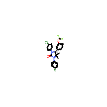 CC1(C)[C@H](c2cccc(OC(F)F)c2)N(c2ccc(Cl)cc2)C(=O)N1c1ccc(Cl)cc1